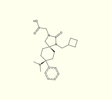 CN(C)[C@]1(c2ccccc2)CC[C@@]2(CC1)CN(CC(=O)O)C(=O)N2CC1CCC1